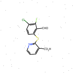 O=Cc1c(Sc2ncccc2C(=O)O)ccc(Cl)c1F